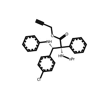 C#CCOC(=O)[C@@](NCCC)(c1ccccc1)[C@@H](Nc1ccccc1)c1ccc(Cl)cc1